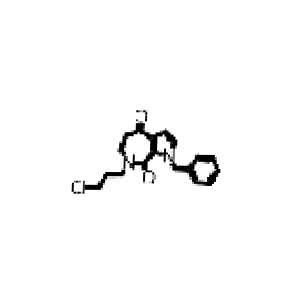 O=C1CCN(CCCCl)C(=O)c2c1ccn2Cc1ccccc1